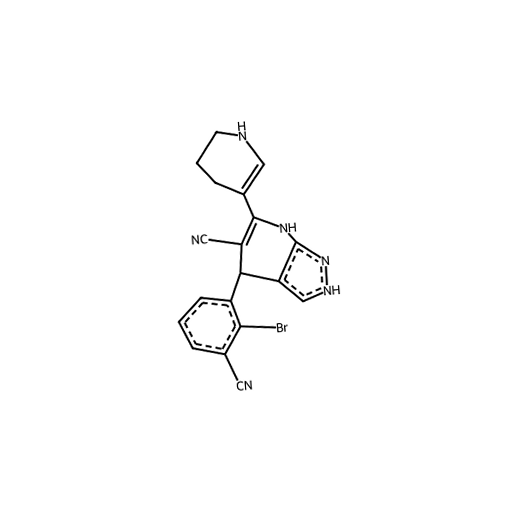 N#CC1=C(C2=CNCCC2)Nc2n[nH]cc2C1c1cccc(C#N)c1Br